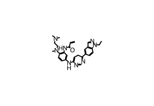 C=CC(=O)Nc1cc(NC2=CCC(c3ccc4c(cnn4CC)c3)=NC=N2)ccc1N(C)CCN(C)C